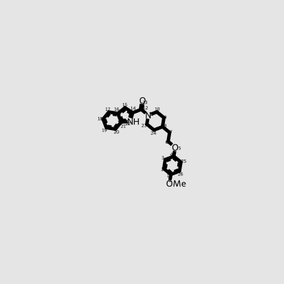 COc1ccc(OCCC2CCN(C(=O)c3cc4ccccc4[nH]3)CC2)cc1